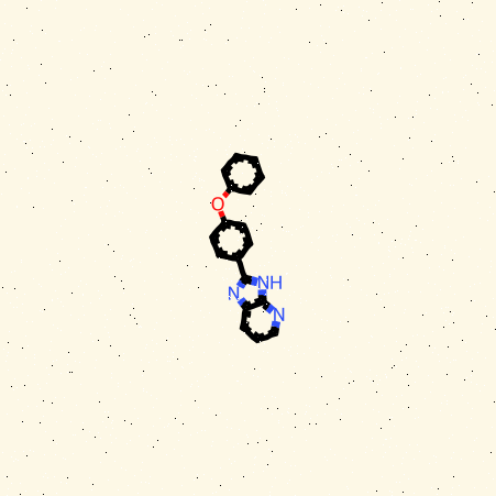 c1ccc(Oc2ccc(-c3nc4cccnc4[nH]3)cc2)cc1